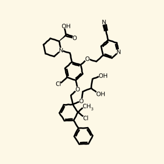 CC1(Cl)C(c2ccccc2)=CC=CC1(COc1cc(OCc2cncc(C#N)c2)c(CN2CCCC[C@H]2C(=O)O)cc1Cl)OCC(O)CO